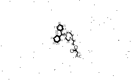 CC(=O)CC(=O)OCCN1CCCN(C(c2ccccc2)c2ccccc2)CC1